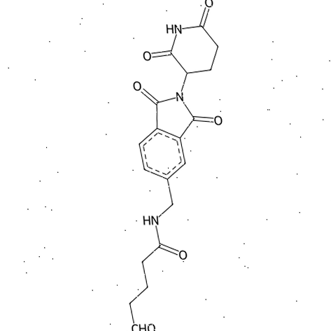 O=CCCCC(=O)NCc1ccc2c(c1)C(=O)N(C1CCC(=O)NC1=O)C2=O